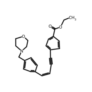 CCOC(=O)c1ccc(C#C/C=C\c2ccc(CN3CCOCC3)cc2)cc1